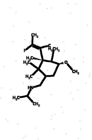 CO[C@@H]1CC(CNC(C)C)C(C)(C)[C@@](C)(/C(C)=C(/C)F)C1C